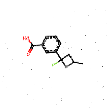 CC1CC(F)(c2cccc(C(=O)O)c2)C1